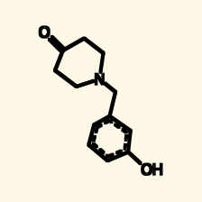 O=C1CCN(Cc2cccc(O)c2)CC1